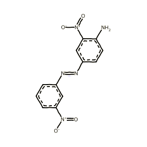 Nc1ccc(/N=N/c2cccc([N+](=O)[O-])c2)cc1[N+](=O)[O-]